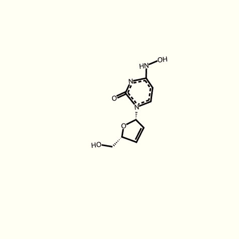 O=c1nc(NO)ccn1[C@@H]1C=C[C@H](CO)O1